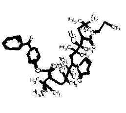 CC(C)(C)CC(C(=O)OCCO)C(C)(C)C(C)(C)CC(N1CCCC1=O)C(C)(C)C(C)(C)CC(C(=O)Oc1ccc(C(=O)c2ccccc2)cc1)C(C)(C)C